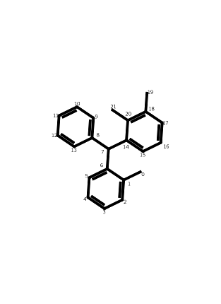 Cc1ccccc1C(c1ccccc1)c1cccc(C)c1C